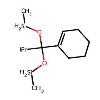 C[SiH2]OC(O[SiH2]C)(C1=CCCCC1)C(C)C